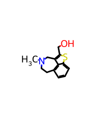 CN1CCc2cccc3sc(CO)c(c23)C1